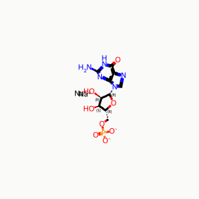 Nc1nc2c(ncn2[C@@H]2O[C@H](COP(=O)([O-])[O-])[C@@H](O)[C@H]2O)c(=O)[nH]1.[Na+].[Na+]